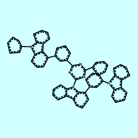 c1ccc(-c2nc(-c3cccc(-c4cccc5c4c4ccccc4n5-c4ccccc4)c3)nc(-n3c4ccccc4c4cccc(-c5cccc(-n6c7ccccc7c7ccccc76)c5)c43)n2)cc1